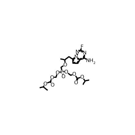 CC(C)OC(=O)OCOP(=O)(COC(C)Cc1ccc2c(N)nc(F)nn12)OCOC(=O)OC(C)C